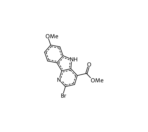 COC(=O)c1cc(Br)nc2c1[nH]c1cc(OC)ccc12